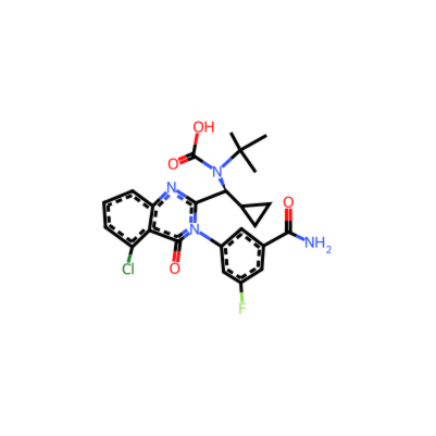 CC(C)(C)N(C(=O)O)[C@H](c1nc2cccc(Cl)c2c(=O)n1-c1cc(F)cc(C(N)=O)c1)C1CC1